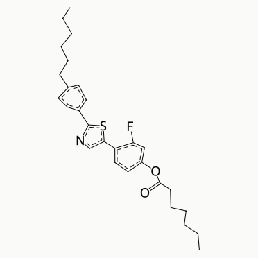 CCCCCCC(=O)Oc1ccc(-c2cnc(-c3ccc(CCCCCC)cc3)s2)c(F)c1